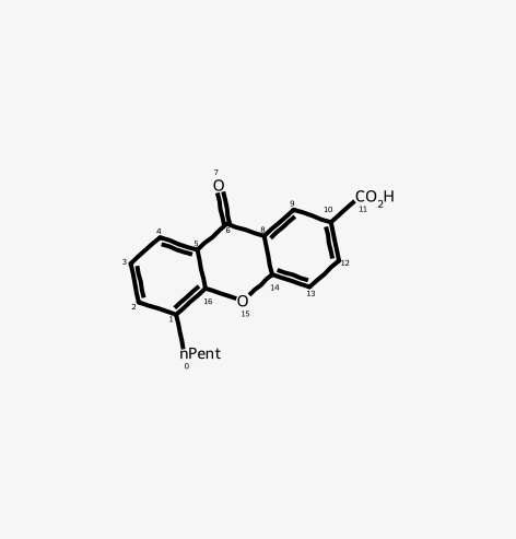 CCCCCc1cccc2c(=O)c3cc(C(=O)O)ccc3oc12